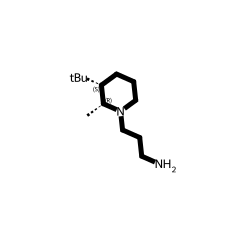 C[C@@H]1[C@H](C(C)(C)C)CCCN1CCCN